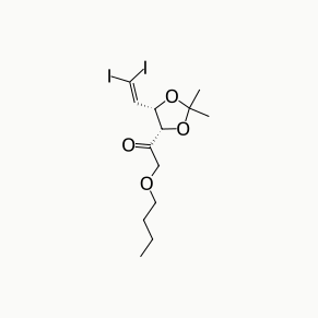 CCCCOCC(=O)[C@H]1OC(C)(C)O[C@H]1C=C(I)I